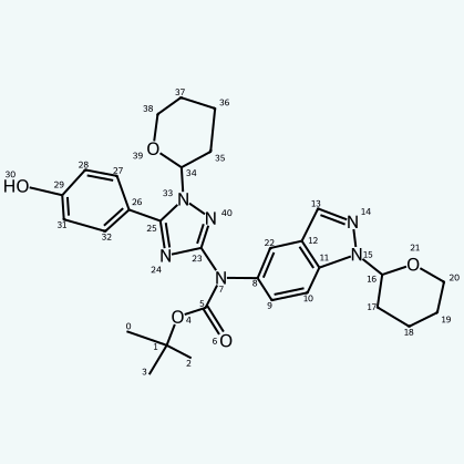 CC(C)(C)OC(=O)N(c1ccc2c(cnn2C2CCCCO2)c1)c1nc(-c2ccc(O)cc2)n(C2CCCCO2)n1